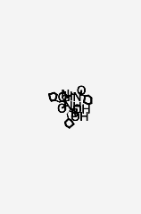 O=C(NCC1=NOC(Cc2ccccc2)(C(=O)N[C@@H](Cc2ccccc2)B(O)O)C1)c1ccccc1